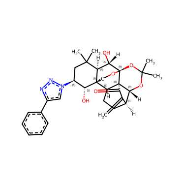 C=C1C(=O)[C@@]23[C@@H]4OC(C)(C)O[C@]25OC[C@]2([C@H](O)[C@@H](n6cc(-c7ccccc7)nn6)CC(C)(C)[C@H]2[C@@H]5O)[C@@H]3CC[C@@H]14